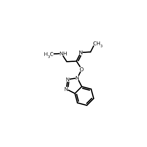 CC/N=C(/CNC)On1nnc2ccccc21